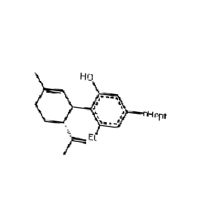 C=C(C)[C@@H]1CCC(C)=C[C@H]1c1c(O)cc(CCCCCCC)cc1CC